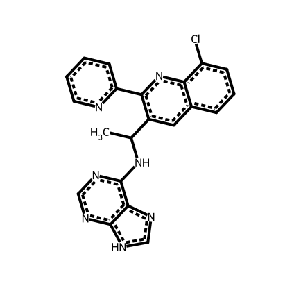 CC(Nc1ncnc2[nH]cnc12)c1cc2cccc(Cl)c2nc1-c1ccccn1